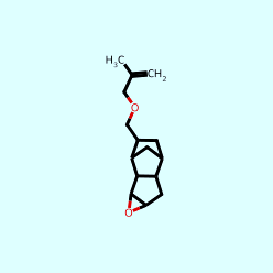 C=C(C)COCC1CC2CC1C1C2CC2OC21